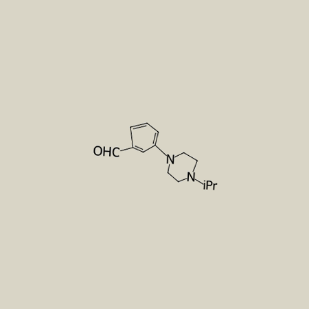 CC(C)N1CCN(c2cccc(C=O)c2)CC1